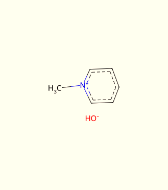 C[n+]1ccccc1.[OH-]